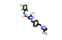 Cc1cnn(Cc2ccc(Cn3cc(C(=O)NCc4c(F)ccc(Cl)c4F)c(C(F)(F)F)n3)cc2)c1